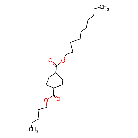 CCCCCCCCCCOC(=O)C1CCC(C(=O)OCCCCC)CC1